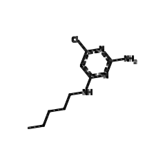 CCCCCNc1cc(Cl)nc(N)n1